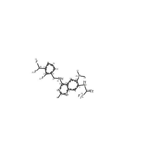 CCC(Nc1cc2nc(C)nc(NCc3cccc(C(F)F)c3F)c2cc1P(C)C)C(F)(F)F